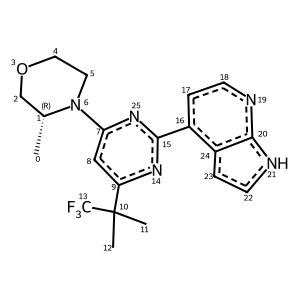 C[C@@H]1COCCN1c1cc(C(C)(C)C(F)(F)F)nc(-c2ccnc3[nH]ccc23)n1